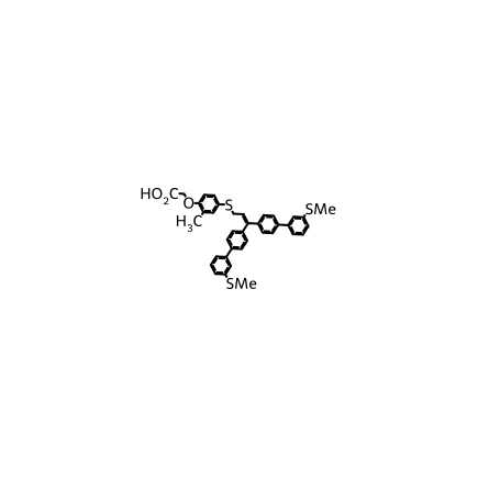 CSc1cccc(-c2ccc(C(=CCSc3ccc(OCC(=O)O)c(C)c3)c3ccc(-c4cccc(SC)c4)cc3)cc2)c1